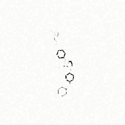 CN(C)CCOc1ccc(-n2ccn(-c3ccc(OC4CCCCC4)cc3)c2=O)cc1